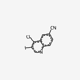 N#Cc1ccc2ncc(I)c(Cl)c2c1